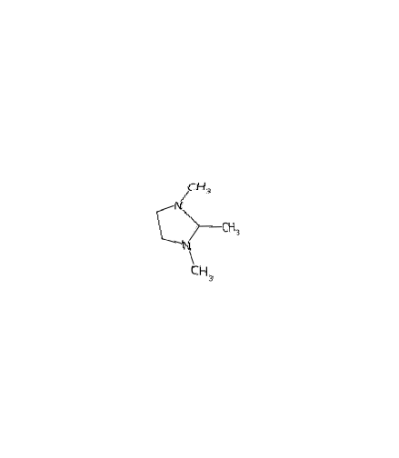 CC1N(C)CCN1C